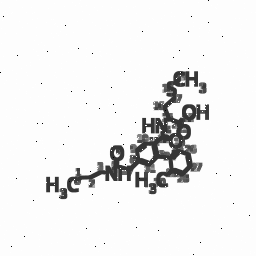 CCCCNC(=O)Cc1ccc(C(=O)NC(CCSC)C(=O)O)c(-c2ccccc2C)c1